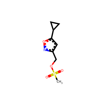 CS(=O)(=O)OCc1cc(C2CC2)on1